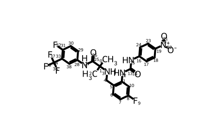 CC(C)(NCc1ccc(F)cc1NC(=O)Nc1ccc([N+](=O)[O-])cc1)C(=O)Nc1ccc(F)c(C(F)(F)F)c1